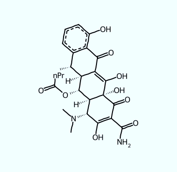 CCCC(=O)O[C@@H]1[C@@H]2C(=C(O)[C@@]3(O)C(=O)C(C(N)=O)=C(O)[C@H](N(C)C)[C@@H]13)C(=O)c1c(O)cccc1[C@H]2C